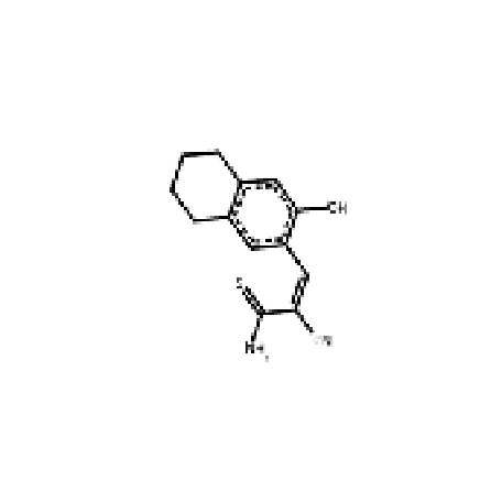 N#CC(=Cc1cc2c(cc1O)CCCC2)C(N)=S